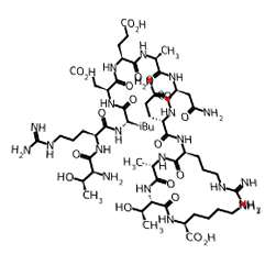 CC[C@H](C)[C@H](NC(=O)[C@H](CCCNC(=N)N)NC(=O)[C@@H](N)[C@@H](C)O)C(=O)N[C@@H](CC(=O)O)C(=O)N[C@@H](CCC(=O)O)C(=O)N[C@@H](C)C(=O)N[C@@H](CC(N)=O)C(=O)N[C@@H](CCC(N)=O)C(=O)N[C@@H](CCCNC(=N)N)C(=O)N[C@@H](C)C(=O)N[C@H](C(=O)N[C@@H](CCCCN)C(=O)O)[C@@H](C)O